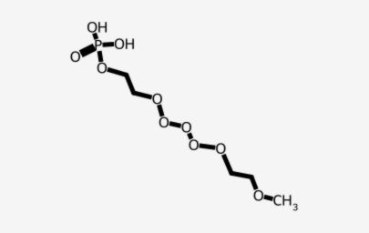 COCCOOOOOCCOP(=O)(O)O